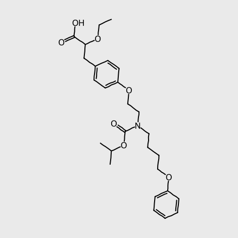 CCOC(Cc1ccc(OCCN(CCCCOc2ccccc2)C(=O)OC(C)C)cc1)C(=O)O